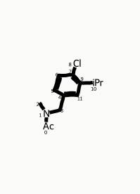 CC(=O)N(C)Cc1ccc(Cl)c(C(C)C)c1